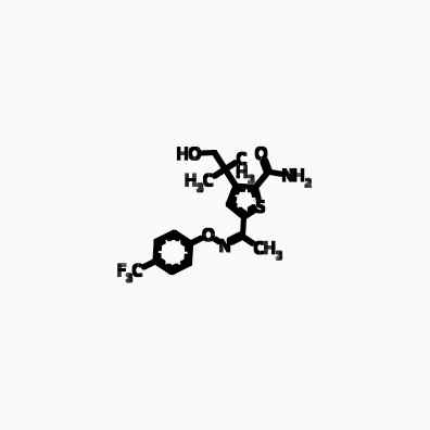 CC(=NOc1ccc(C(F)(F)F)cc1)c1cc(C(C)(C)CO)c(C(N)=O)s1